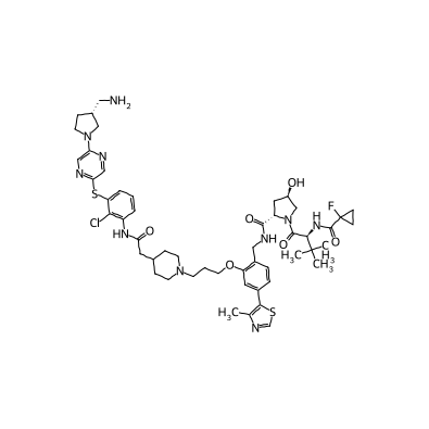 Cc1ncsc1-c1ccc(CNC(=O)[C@@H]2C[C@@H](O)CN2C(=O)[C@@H](NC(=O)C2(F)CC2)C(C)(C)C)c(OCCCN2CCC(CC(=O)Nc3cccc(Sc4cnc(N5CC[C@H](CN)C5)cn4)c3Cl)CC2)c1